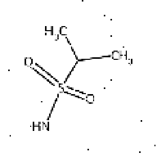 CC(C)S([NH])(=O)=O